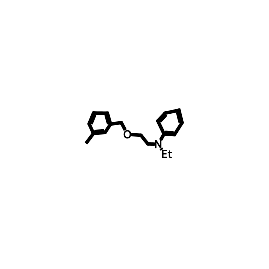 CCN(CCOCc1cccc(C)c1)c1ccccc1